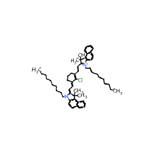 CCCCCCCCCCN1/C(=C/C=C2\CCCC(/C=C/C3=[N+](CCCCCCCCCC)c4ccc5ccccc5c4C3(C)C)=C2Cl)C(C)(C)c2c1ccc1ccccc21